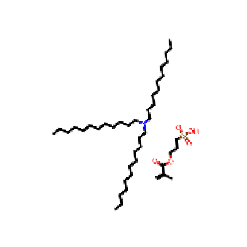 C=C(C)C(=O)OCCCS(=O)(=O)O.CCCCCCCCCCCCN(CCCCCCCCCCCC)CCCCCCCCCCCC